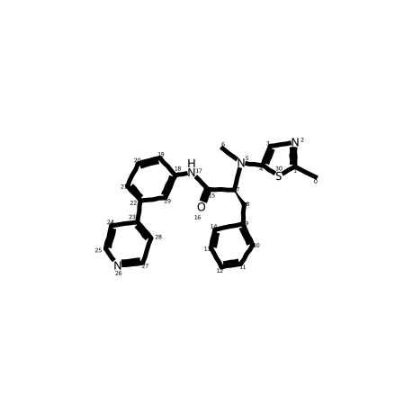 Cc1ncc(N(C)[C@@H](Cc2ccccc2)C(=O)Nc2cccc(-c3ccncc3)c2)s1